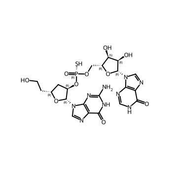 Nc1nc2c(ncn2[C@@H]2O[C@H](CCO)C[C@H]2O[P@](=O)(S)OC[C@H]2O[C@@H](n3cnc4c(=O)[nH]cnc43)[C@H](O)[C@@H]2O)c(=O)[nH]1